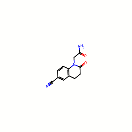 N#Cc1ccc2c(c1)CCC(=O)N2CC(N)=O